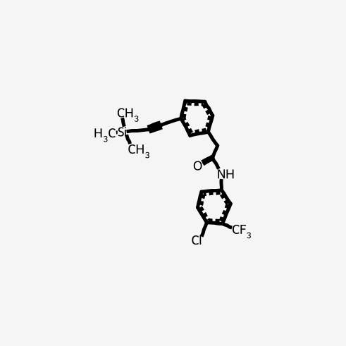 C[Si](C)(C)C#Cc1cccc(CC(=O)Nc2ccc(Cl)c(C(F)(F)F)c2)c1